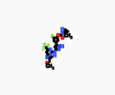 COCc1cn2c(Nc3cc([C@H]4C[C@@H](F)[C@@H](OC(=O)NC5(C)CC5)C4)[nH]n3)nc(C(F)(F)F)cc2n1